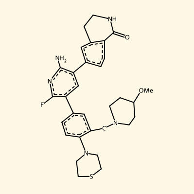 COC1CCN(Cc2cc(-c3cc(-c4ccc5c(c4)CCNC5=O)c(N)nc3F)ccc2N2CCSCC2)CC1